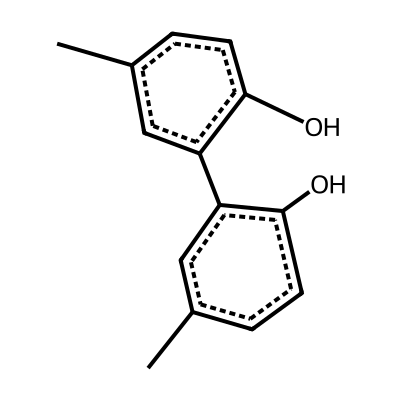 Cc1ccc(O)c(-c2cc(C)ccc2O)c1